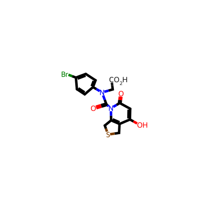 O=C(O)CN(C(=O)n1c2c(c(O)cc1=O)CSC2)c1ccc(Br)cc1